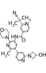 Cc1nc(N2CCOCC2)c(NC(=O)c2ccnc(C(C)(C)C#N)c2)cc1-c1ccnc(N2CC(O)C2)c1